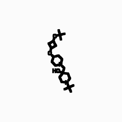 CC(C)(C)OC1CC(OC2CCN(CC3(O)CCN(C(C)(C)C)CC3)CC2)C1